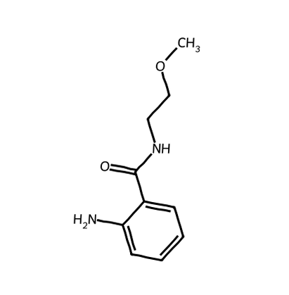 COCCNC(=O)c1ccccc1N